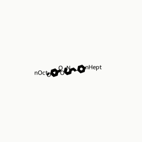 CCCCCCCCOc1ccc(C(=O)Oc2ccc(CC[C@H]3CC[C@H](CCCCCCC)CC3)nc2)cc1